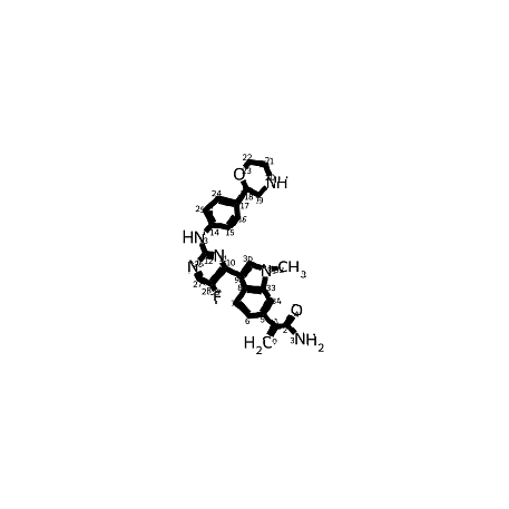 C=C(C(N)=O)c1ccc2c(-c3nc(Nc4ccc(C5CNCCO5)cc4)ncc3F)cn(C)c2c1